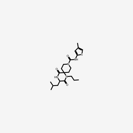 CCCN1C(=O)C(CC(C)C)NC(=O)C12CCN(C(=O)Nc1cc(C)cs1)CC2